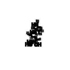 C=C(C(O)NO)[C@@H](CNC(CC)(C(C)C)C(C)NC)CC(C)C